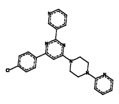 Clc1ccc(-c2cc(N3CCN(c4ccccn4)CC3)nc(-c3cccnc3)n2)cc1